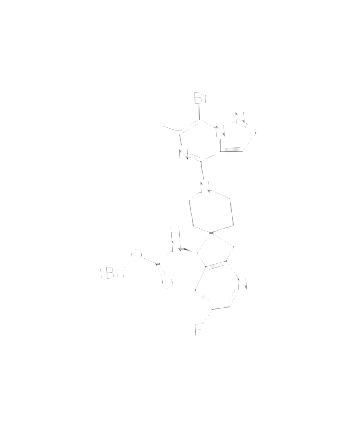 Cc1nc(N2CCC3(CC2)Cc2ncc(F)cc2[C@H]3NC(=O)OC(C)(C)C)c2ccnn2c1Br